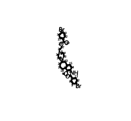 COc1c(NC(=O)c2ccc(Br)cc2)ccc2c1CCC[C@@H](N1CCN(CCOC(=O)c3ccc(Br)cc3)CC1)C2